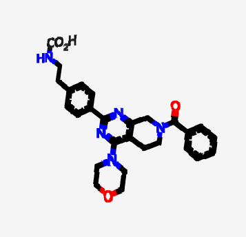 O=C(O)NCCc1ccc(-c2nc3c(c(N4CCOCC4)n2)CCN(C(=O)c2ccccc2)C3)cc1